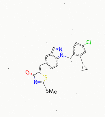 CSC1=NC(=O)/C(=C/c2ccc3c(cnn3Cc3ccc(Cl)cc3C3CC3)c2)S1